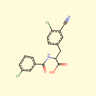 N#Cc1cc(CC(NC(=O)c2cccc(Cl)c2)C(=O)O)ccc1Cl